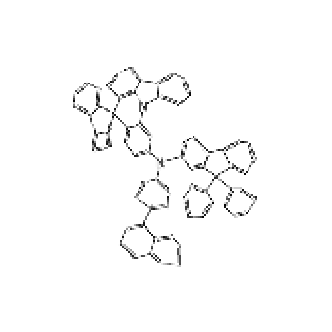 c1ccc(C2(c3ccccc3)c3ccccc3-c3ccc(N(c4ccc(-c5cccc6ccccc56)cc4)c4ccc5c(c4)-n4c6ccccc6c6cccc(c64)C54c5ccccc5-c5ccccc54)cc32)cc1